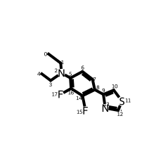 CCN(CC)c1ccc(-c2cs[c]n2)c(F)c1F